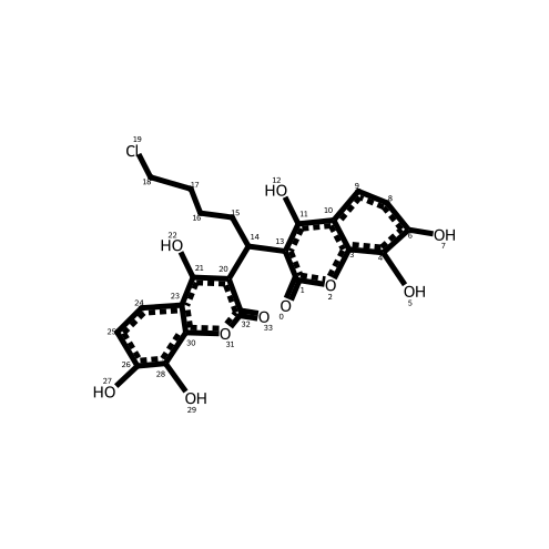 O=c1oc2c(O)c(O)ccc2c(O)c1C(CCCCCl)c1c(O)c2ccc(O)c(O)c2oc1=O